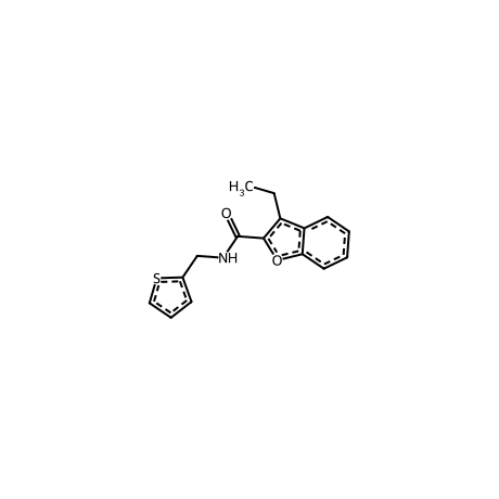 CCc1c(C(=O)NCc2cccs2)oc2ccccc12